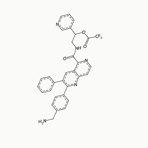 NCc1ccc(-c2nc3ccnc(C(=O)NCC(OC(=O)C(F)(F)F)c4cccnc4)c3cc2-c2ccccc2)cc1